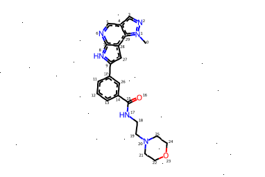 Cn1ncc2cnc3[nH]c(-c4cccc(C(=O)NCCN5CCOCC5)c4)cc3c21